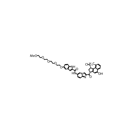 COCCOCCOCCOCCOc1ccc2[nH]c(C(=O)Nc3ccc4nc(C(=O)N5C[C@@H](CCl)c6c5cc(O)c5cccc(C)c65)cn4c3)cc2c1